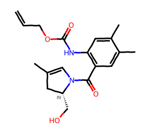 C=CCOC(=O)Nc1cc(C)c(C)cc1C(=O)N1C=C(C)C[C@H]1CO